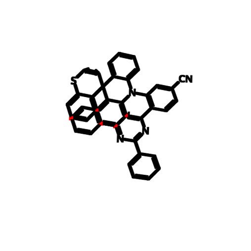 N#Cc1ccc(-c2nc(-c3ccccc3)nc(-c3ccccc3)n2)c(N2c3ccccc3C3(c4ccccc4Sc4ccccc43)c3ccccc32)c1